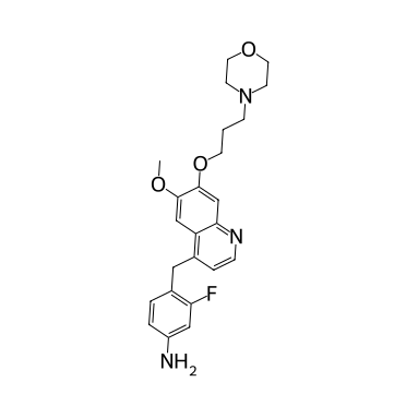 COc1cc2c(Cc3ccc(N)cc3F)ccnc2cc1OCCCN1CCOCC1